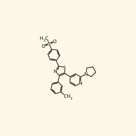 Cc1cccc(-c2nc(-c3ccc(S(C)(=O)=O)cc3)sc2-c2ccnc(N3CCCC3)c2)c1